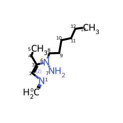 C=N/C=C(/CC)N(N)CCCCCC